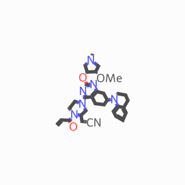 C=CC(=O)N1CCN(c2nc(O[C@@H]3CN(C)C[C@H]3OC)nc3c2CCC(N2CCCc4ccccc42)C3)CC1CC#N